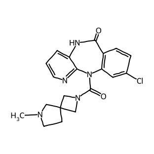 CN1CCC2(C1)CN(C(=O)N1c3cc(Cl)ccc3C(=O)Nc3cccnc31)C2